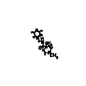 CN1CCC(N)(C(=O)NCc2ccccc2)CC1